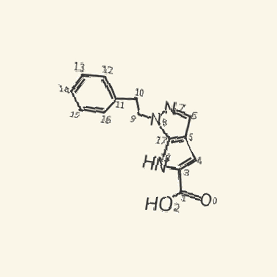 O=C(O)c1cc2cnn(CCc3ccccc3)c2[nH]1